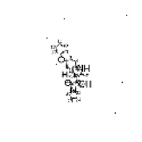 C=C(Nc1ccc(Oc2ccccc2)cc1)[C@H](O)[C@@H](O)C(=O)N1CCCC1